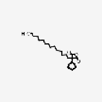 CCCCCCCCCCCCCCCC1(c2ccccc2)C(=O)OC1=O